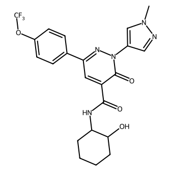 Cn1cc(-n2nc(-c3ccc(OC(F)(F)F)cc3)cc(C(=O)NC3CCCCC3O)c2=O)cn1